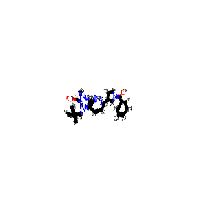 Cn1c(=O)n(CC(C)(C)C)c2ccc(C3CCN(C(=O)c4ccccc4)C3)nc21